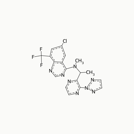 CC(c1nccnc1-n1nccn1)N(C)c1ncnc2c(C(F)(F)F)cc(Cl)cc12